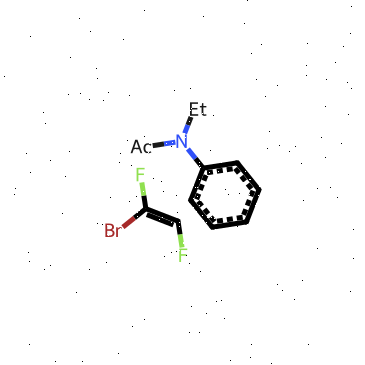 CCN(C(C)=O)c1ccccc1.FC=C(F)Br